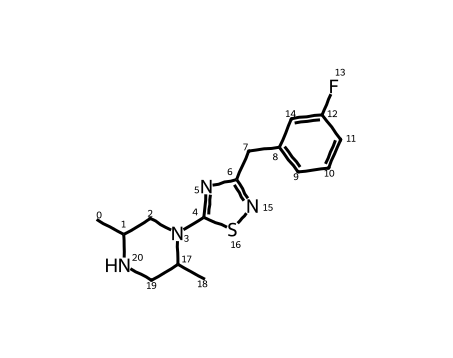 CC1CN(c2nc(Cc3cccc(F)c3)ns2)C(C)CN1